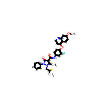 COc1ccc2c(Oc3ccc(NC(=O)c4c(C)n(CC(C)=S)n(-c5ccccc5)c4=O)cc3F)ccnc2c1